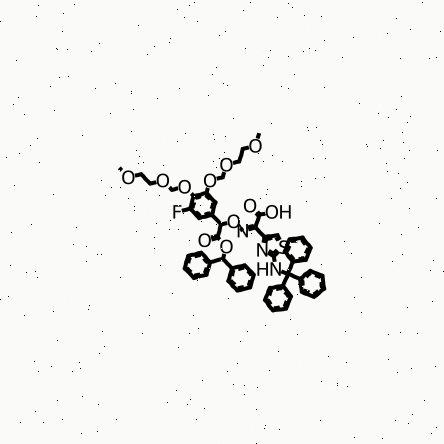 COCCOCOc1cc(C(ON=C(C(=O)O)c2csc(NC(c3ccccc3)(c3ccccc3)c3ccccc3)n2)C(=O)OC(c2ccccc2)c2ccccc2)cc(F)c1OCOCCOC